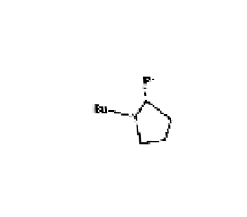 CCC(C)N1CCC[C@H]1C(C)C